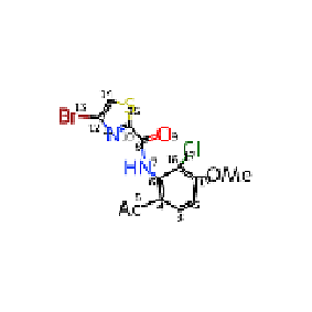 COc1ccc(C(C)=O)c(NC(=O)c2nc(Br)cs2)c1Cl